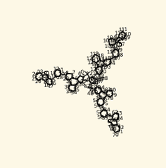 CC1(C)c2cc3c4ccc(-c5cccc(-c6cccc7c6sc6ccccc67)c5)cc4c4ccccc4c3cc2-c2c1c1c(c3c2C(C)(C)c2cc4c5ccc(-c6cccc(-c7cccc8c7sc7ccccc78)c6)cc5c5ccccc5c4cc2-3)C(C)(C)c2cc3c4ccc(-c5cccc(-c6cccc7c6sc6ccccc67)c5)cc4c4ccccc4c3cc2-1